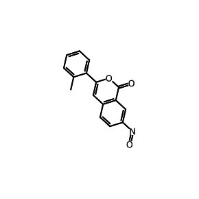 Cc1ccccc1-c1cc2ccc(N=O)cc2c(=O)o1